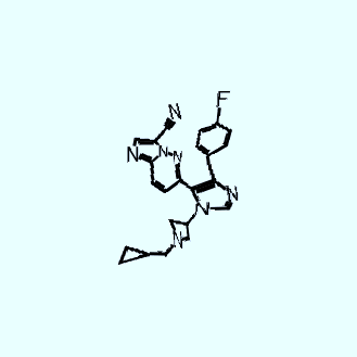 N#Cc1cnc2ccc(-c3c(-c4ccc(F)cc4)ncn3C3CN(CC4CC4)C3)nn12